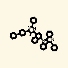 CC1C(c2ccc(-c3ccccc3)cc2)=NC(c2ccccc2)=NC1c1ccc(-n2c3ccccc3c3c(-c4ccccc4)nc4ccccc4c32)c2ccccc12